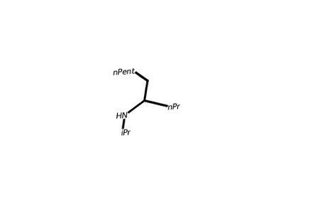 CCCCCCC(CCC)NC(C)C